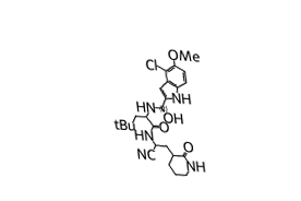 COc1ccc2[nH]c([C@@H](O)NC(CC(C)(C)C)C(=O)NC(C#N)CC3CCCNC3=O)cc2c1Cl